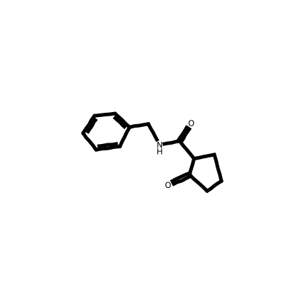 O=C1CCCC1C(=O)NCc1ccccc1